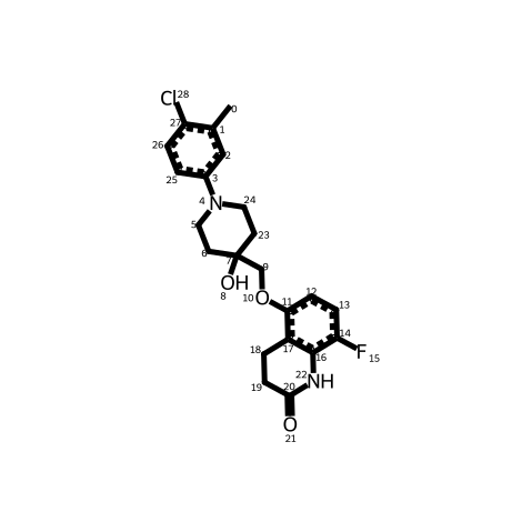 Cc1cc(N2CCC(O)(COc3ccc(F)c4c3CCC(=O)N4)CC2)ccc1Cl